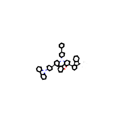 CC1(C)c2ccccc2-c2c(-c3ccc(N(c4ccc(-c5ccccc5)cc4)c4ccc(-c5ccc(-n6c7ccccc7c7ccccc76)cc5)cc4)c4c3oc3ccccc34)cccc21